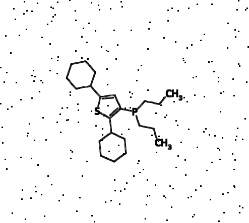 CCCP(CCC)c1cc(C2CCCCC2)sc1C1CCCCC1